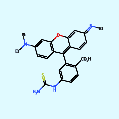 CC/N=c1\ccc2c(-c3cc(NC(N)=S)ccc3C(=O)O)c3ccc(N(CC)CC)cc3oc-2c1